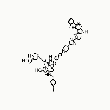 C#Cc1ccc(CNC(=O)[C@@H]2C[C@@H](O)CN2C(=O)[C@H](NC(=O)N2CC3(CC(N4CCC(c5cnc(N6CCc7[nH]c8nnc(-c9ccccc9O)cc8c7[C@H]6C)nc5)CC4)C3)C2)C(C)(C)CCN2CCN[C@@H](C(=O)O)C2)cc1